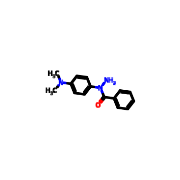 CN(C)c1ccc(N(N)C(=O)c2ccccc2)cc1